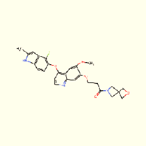 COc1cc2c(Oc3ccc4[nH]c(C)cc4c3F)ccnc2cc1OCCC(=O)N1CC2(COC2)C1